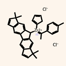 C/[C](c1ccc(C)cc1)=[Zr+2](/[C]1=CC=CC1)[CH]1c2cc3c(cc2-c2cc4c(cc21)C(C)(C)C=C4)C=CC3(C)C.[Cl-].[Cl-]